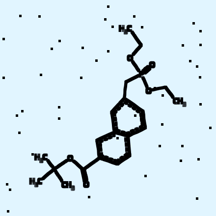 CCOP(=O)(Cc1ccc2ccc(C(=O)OC(C)(C)C)cc2c1)OCC